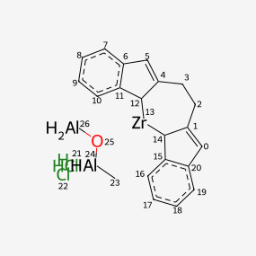 C1=C2CCC3=Cc4ccccc4[CH]3[Zr][CH]2c2ccccc21.Cl.Cl.[CH3][AlH][O][AlH2]